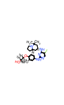 [2H]C([2H])(O)C([2H])([2H])Oc1ccc(Nc2ncc(F)c(N[C@@H]3C[C@@H]4CCCN4C(C)(C)C3)n2)cc1OC